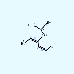 C/C=C\C(=C/CC)ON(C(C)C)C(C)CCC